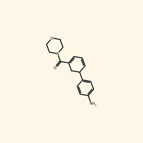 Nc1ccc(C2C=CC=C(C(=O)N3CCOCC3)C2)cc1